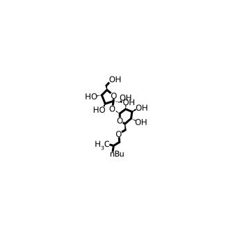 CCCCC(C)COC[C@H]1O[C@H](O[C@]2(CO)O[C@H](CO)[C@@H](O)[C@@H]2O)[C@H](O)[C@@H](O)[C@@H]1O